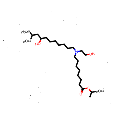 CCCCCCCCCC(CCCCCCCC)CC(O)CCCCCCCN(CCO)CCCCCCCC(=O)OC(C)CCCCCCCC